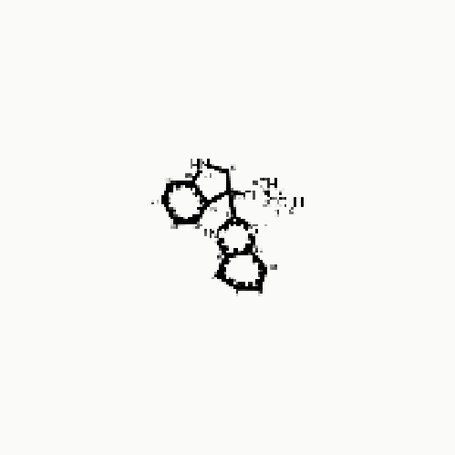 CC(=O)O.CC1(c2nc3ccccc3s2)CNc2ccccc21